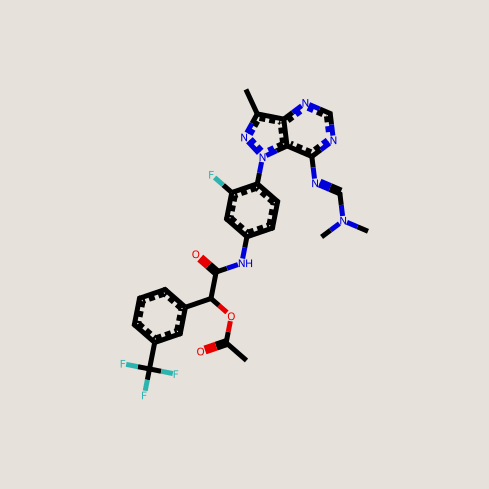 CC(=O)OC(C(=O)Nc1ccc(-n2nc(C)c3ncnc(/N=C/N(C)C)c32)c(F)c1)c1cccc(C(F)(F)F)c1